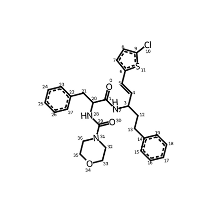 O=C(NC(/C=C/c1ccc(Cl)s1)CCc1ccccc1)C(Cc1ccccc1)NC(=O)N1CCOCC1